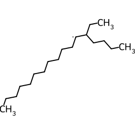 CCCCCCCCCCC[CH]C(CC)CCCC